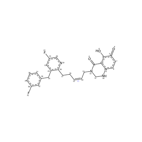 O=C1c2c(O)c(=O)ccn2NCN1C/C=C\CCc1ncc(F)cc1Cc1cccc(F)c1